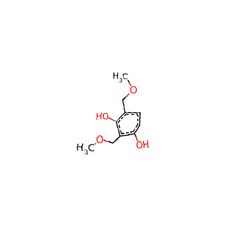 COCc1ccc(O)c(COC)c1O